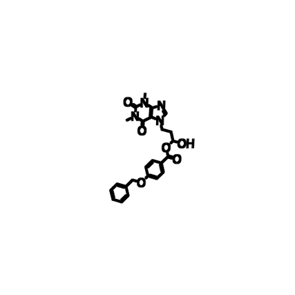 Cn1c(=O)c2c(ncn2CCC(O)OC(=O)c2ccc(OCc3ccccc3)cc2)n(C)c1=O